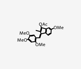 COc1ccc2c(c1)C(OC(C)=O)=C(C)C2=Cc1cc(OC)c(OC)cc1OC